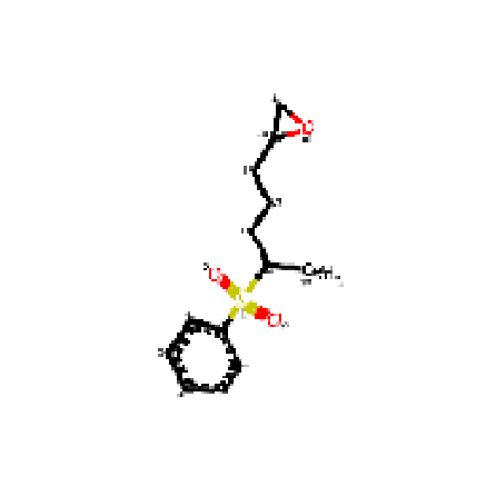 O=S(=O)(c1ccccc1)[CH]([GeH3])CCCC1CO1